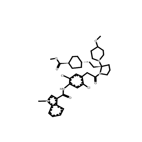 COC(=O)[C@H]1CC[C@H](CC[C@@]2(N3CCC(OC)CC3)CCCN2C(=O)Cc2cc(Cl)c(NC(=O)c3cn(C)c4ccccc34)cc2Cl)CC1